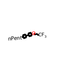 CCCCCc1ccc(-c2ccc(OCCCC(F)(F)F)cc2)cc1